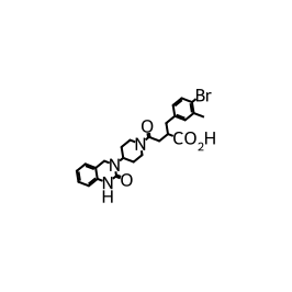 Cc1cc(CC(CC(=O)N2CCC(N3Cc4ccccc4NC3=O)CC2)C(=O)O)ccc1Br